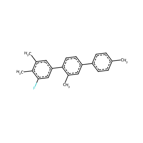 Cc1ccc(-c2ccc(-c3cc(C)c(C)c(F)c3)c(C)c2)cc1